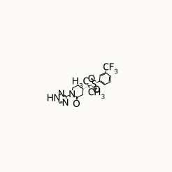 CC(C)([C@H]1CCN(c2nc[nH]n2)C(=O)C1)S(=O)(=O)c1cccc(C(F)(F)F)c1